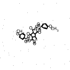 COc1ccc(S(=O)(=O)OC2C3C(=O)C4C(=O)N(OS(=O)(=O)c5ccc(OC)cc5)C(=O)C4C3C[N+]2=O)cc1